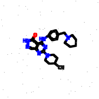 N#CC1CCN(c2nc(Nc3ccc(CN4CCCCC4)cc3)c3c(=O)[nH]ncc3n2)CC1